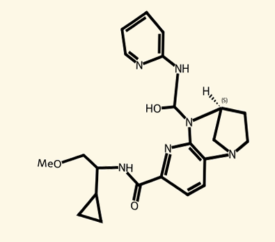 COCC(NC(=O)c1ccc2c(n1)N(C(O)Nc1ccccn1)[C@H]1CCN2C1)C1CC1